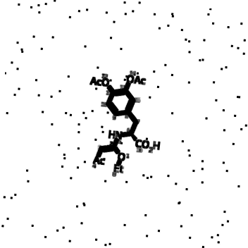 CCOC(=CC(C)=O)N[C@@H](Cc1ccc(OC(C)=O)c(OC(C)=O)c1)C(=O)O